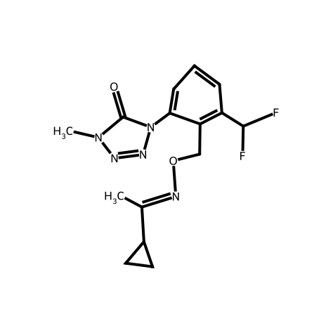 CC(=NOCc1c(C(F)F)cccc1-n1nnn(C)c1=O)C1CC1